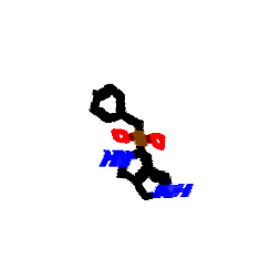 O=S(=O)(Cc1ccccc1)C1NCC2=C1CNC2